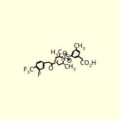 Cc1cc(CC(=O)O)cc(S(=O)(=O)N2C(C)CN(C(=O)Cc3ccc(C(F)(F)F)c(F)c3)C[C@@H]2C)c1